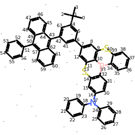 CC(C)(C)c1cc(-c2cc3c4c(c2)Sc2cc(N(c5ccccc5)c5ccccc5)ccc2B4c2ccccc2S3)cc(-c2c3ccccc3c(-c3ccccc3)c3ccccc23)c1